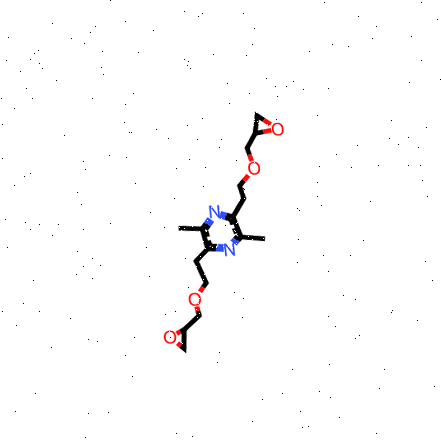 Cc1nc(CCOCC2CO2)c(C)nc1CCOCC1CO1